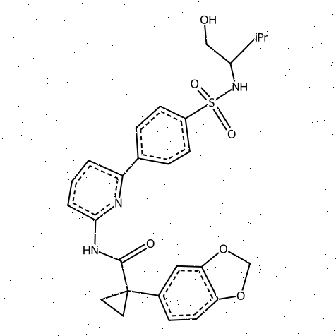 CC(C)C(CO)NS(=O)(=O)c1ccc(-c2cccc(NC(=O)C3(c4ccc5c(c4)OCO5)CC3)n2)cc1